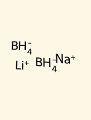 [BH4-].[BH4-].[Li+].[Na+]